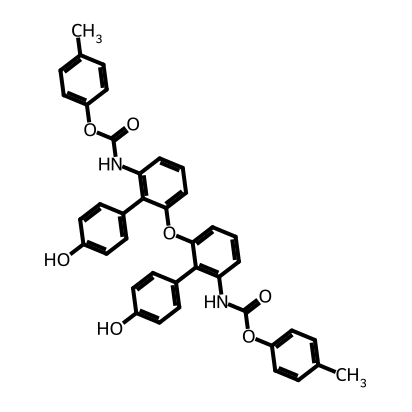 Cc1ccc(OC(=O)Nc2cccc(Oc3cccc(NC(=O)Oc4ccc(C)cc4)c3-c3ccc(O)cc3)c2-c2ccc(O)cc2)cc1